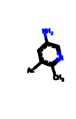 CC(=O)c1cc(N)cnc1C